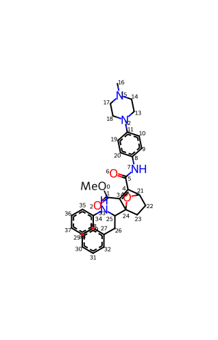 COC(=O)C1=C(C(=O)Nc2ccc(N3CCN(C)CC3)cc2)C2CCC1(C(Cc1ccccc1)Nc1ccccc1)O2